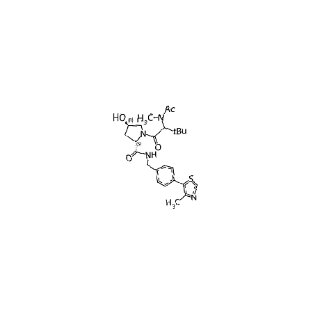 CC(=O)N(C)C(C(=O)N1C[C@H](O)C[C@H]1C(=O)NCc1ccc(-c2scnc2C)cc1)C(C)(C)C